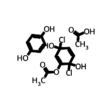 CC(=O)O.CC(=O)OC1=CC(O)(Cl)C=CC1(O)Cl.Oc1ccc(O)cc1